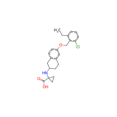 CCc1cccc(Cl)c1COc1ccc2c(c1)CCC(NC1(C(=O)O)CC1)C2